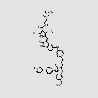 CCN(CC)CCNC(=O)c1c(C)[nH]c(/C=C2\C(=O)Nc3ccc(NC(=O)/C=C\C(=O)OCCN(Cc4cccc(OC)c4)C(=O)Nc4ccc(-c5cn[nH]c5)cc4)cc32)c1C